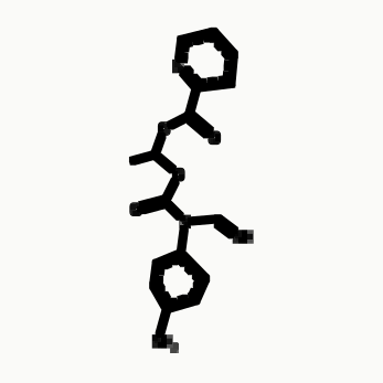 CC(OC(=O)c1ccccn1)OC(=O)N(C=N)c1ccc(N)cc1